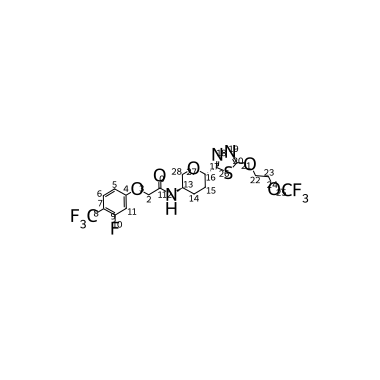 O=C(COc1ccc(C(F)(F)F)c(F)c1)N[C@@H]1CC[C@@H](c2nnc(OCCOC(F)(F)F)s2)OC1